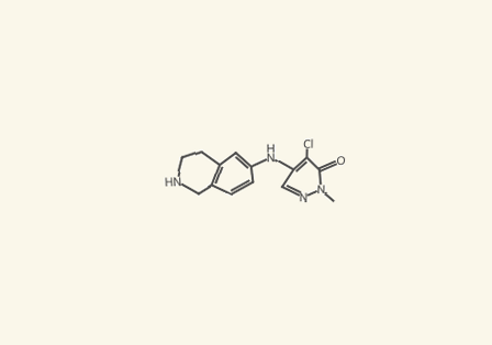 Cn1ncc(Nc2ccc3c(c2)CCNC3)c(Cl)c1=O